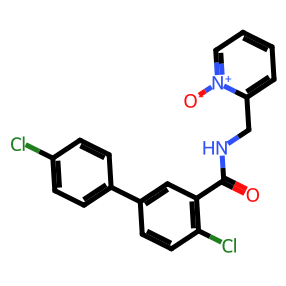 O=C(NCc1cccc[n+]1[O-])c1cc(-c2ccc(Cl)cc2)ccc1Cl